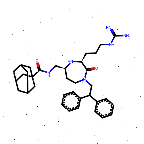 N=C(N)NCCC[C@@H]1N[C@H](CNC(=O)C23CC4CC(CC(C4)C2)C3)CCN(CC(c2ccccc2)c2ccccc2)C1=O